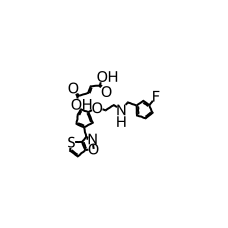 Fc1cccc(CNCCOc2cccc(-c3noc4ccsc34)c2)c1.O=C(O)C=CC(=O)O